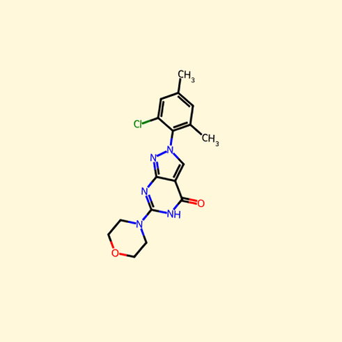 Cc1cc(C)c(-n2cc3c(=O)[nH]c(N4CCOCC4)nc3n2)c(Cl)c1